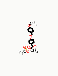 COc1ccc(COc2ccc(C(=O)C(C)OS(C)(=O)=O)cc2)cc1